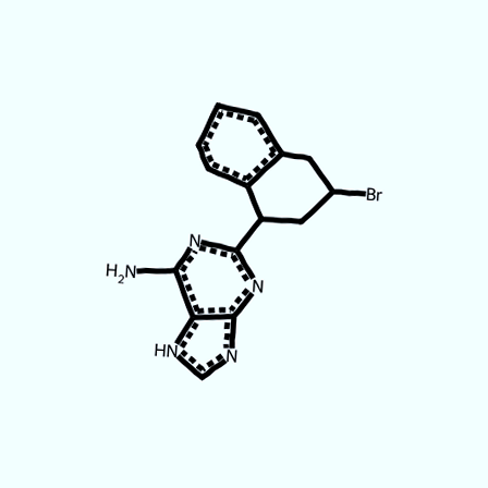 Nc1nc(C2CC(Br)Cc3ccccc32)nc2nc[nH]c12